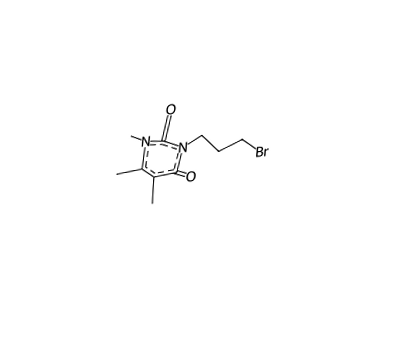 Cc1c(C)n(C)c(=O)n(CCCBr)c1=O